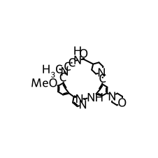 COc1ccc2cc1CN(C)CCNC(=O)C1CCN(CC1)Cc1cc(cc(N3CCOCC3)c1)Nc1nccc-2n1